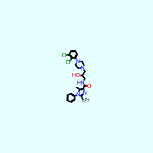 CCCc1nc(C(=O)NCC(O)CN2CCN(c3cccc(Cl)c3Cl)CC2)c(C)n1-c1ccccc1